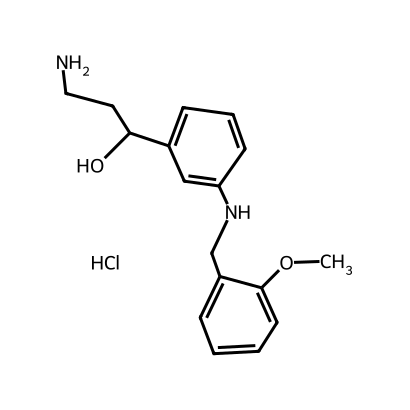 COc1ccccc1CNc1cccc(C(O)CCN)c1.Cl